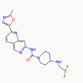 Cc1ncc(-c2ccc3cnc(NC(=O)N4CCC(NCC(F)F)CC4)cc3n2)o1